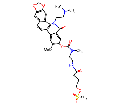 COc1cc2c(cc1OC(=O)N(C)CCNC(=O)CCCOS(C)(=O)=O)c(=O)n(CCN(C)C)c1c3cc4c(cc3ccc21)OCO4